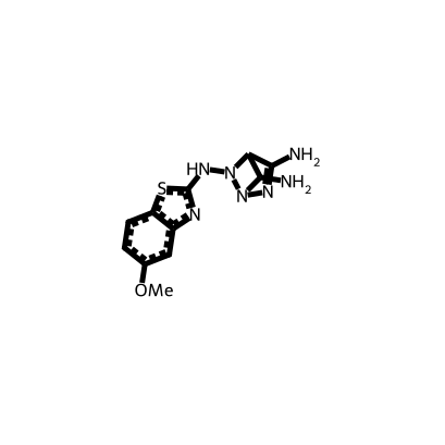 COc1ccc2sc(NN3C4C(N)=NN3C4N)nc2c1